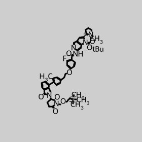 Cc1cc(CCOc2ccc(C(=O)Nc3cc4c(cn3)cc([C@H]3CCCN3C)n4C(=O)OC(C)(C)C)c(F)c2)ccc1-c1cccc2c1CN(C1CCC(=O)N(COCC[Si](C)(C)C)C1=O)C2=O